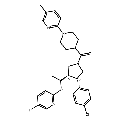 Cc1ccc(N2CCC(C(=O)N3C[C@H](c4ccc(Cl)cc4)[C@@H](C(C)Oc4ccc(F)cn4)C3)CC2)nn1